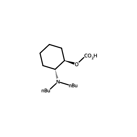 CCCCN(CCCC)[C@@H]1CCCC[C@H]1OC(=O)O